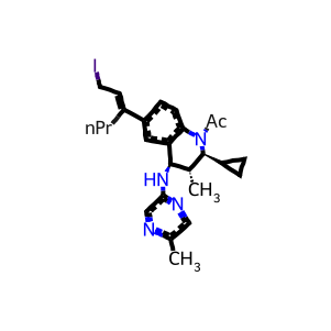 CCC/C(=C\CI)c1ccc2c(c1)[C@H](Nc1cnc(C)cn1)[C@@H](C)[C@H](C1CC1)N2C(C)=O